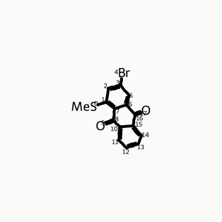 CSc1cc(Br)cc2c1C(=O)c1ccccc1C2=O